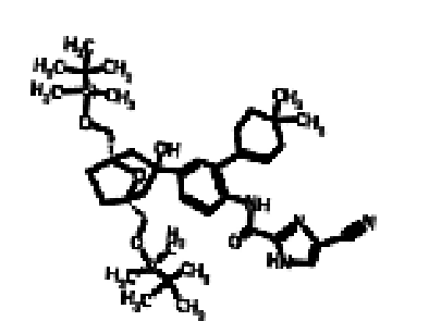 CC1(C)CC=C(c2cc([C@]3(O)C[C@@]4(CO[Si](C)(C)C(C)(C)C)CC[C@@](CO[Si](C)(C)C(C)(C)C)(C3)O4)ccc2NC(=O)c2nc(C#N)c[nH]2)CC1